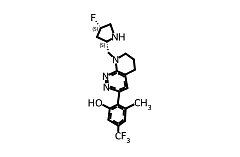 Cc1cc(C(F)(F)F)cc(O)c1-c1cc2c(nn1)N(C[C@@H]1C[C@H](F)CN1)CCC2